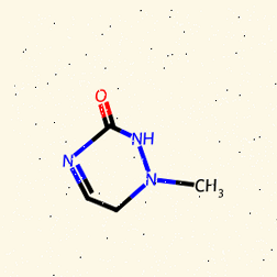 CN1CC=NC(=O)N1